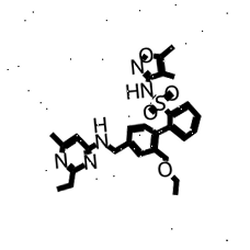 CCOCc1cc(CNc2cc(C)nc(CC)n2)ccc1-c1ccccc1S(=O)(=O)Nc1noc(C)c1C